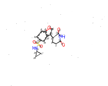 O=C1CCC(c2coc3ccc(S(=O)(=O)NC4CC4)cc23)C(=O)N1